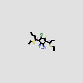 C=C/C=C(\SC=C)c1c(Cl)c(F)c(/C(=C/C)SC=C)c2nsnc12